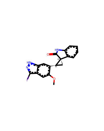 COc1cc2c(I)n[nH]c2cc1[C@H]1C[C@@]12C(=O)Nc1ccccc12